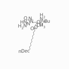 CCCCCCCCCCCCCCCCCCCCCC(=O)OCC(C)(CCn1cnc2c(=O)[nH]c(N)nc21)OC(=O)[C@@H](N)[C@@H](C)CC